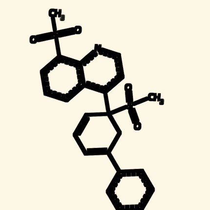 CS(=O)(=O)c1cccc2c(C3(S(C)(=O)=O)C=CC=C(c4ccccc4)C3)ccnc12